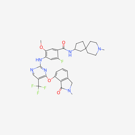 COc1cc(C(=O)NC2CCC3(CCN(C)CC3)C2)c(F)cc1Nc1ncc(C(F)(F)F)c(Oc2cccc3c2C(=O)N(C)C3)n1